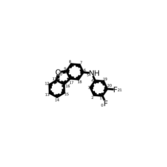 Fc1ccc(Nc2ccc3oc4ccccc4c3c2)cc1F